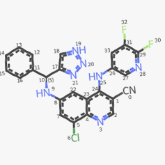 N#Cc1cnc2c(Cl)cc(N[C@@H](c3ccccc3)c3c[nH]nn3)cc2c1Nc1cnc(F)c(F)c1